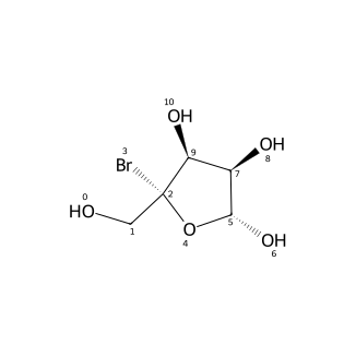 OC[C@]1(Br)O[C@@H](O)[C@H](O)[C@@H]1O